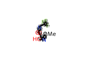 COc1ccc2ncc(CO)c(CCCOC(=O)C3CCN(CC#Cc4cc(F)cc(F)c4F)CC3)c2c1